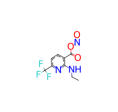 CCNc1nc(C(F)(F)F)ccc1C(=O)ON=O